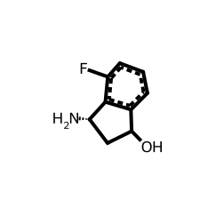 N[C@H]1CC(O)c2cccc(F)c21